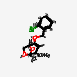 CCC12OC[C@@H](O1)[C@@H](OCc1ccccc1Br)C[C@H]2OC